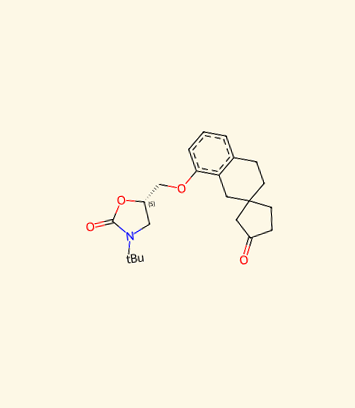 CC(C)(C)N1C[C@@H](COc2cccc3c2CC2(CCC(=O)C2)CC3)OC1=O